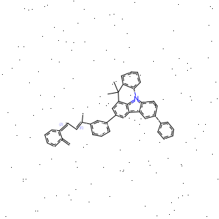 C=c1cccc/c1=C/C=C(\C)c1cccc(-c2cc3c4c(c2)c2cc(-c5ccccc5)ccc2n4-c2ccccc2C3(C)C)c1